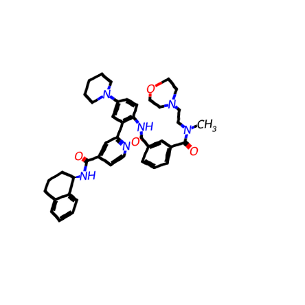 CN(CCN1CCOCC1)C(=O)c1cccc(C(=O)Nc2ccc(N3CCCCC3)cc2-c2cc(C(=O)N[C@@H]3CCCc4ccccc43)ccn2)c1